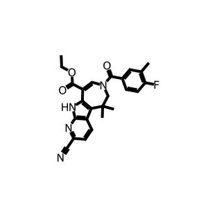 CCOC(=O)C1=CN(C(=O)c2ccc(F)c(C)c2)CC(C)(C)c2c1[nH]c1nc(C#N)ccc21